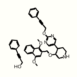 COc1cc(COC2CNCCC2c2cnc(OCC#Cc3ccccc3)nc2)c(OC)c2ccccc12.OCC#Cc1ccccc1